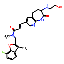 Cc1c(CN(C)C(=O)/C=C/c2cnc3c(c2)CCC(NCCO)C(=O)N3)oc2c(F)cccc12